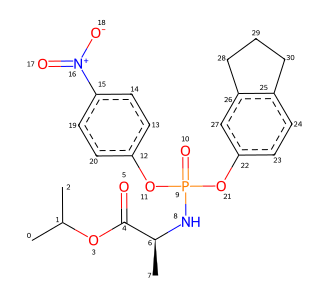 CC(C)OC(=O)[C@H](C)NP(=O)(Oc1ccc([N+](=O)[O-])cc1)Oc1ccc2c(c1)CCC2